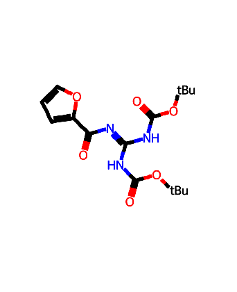 CC(C)(C)OC(=O)NC(=NC(=O)c1ccco1)NC(=O)OC(C)(C)C